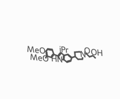 COc1ccc(-c2[nH]c3ccc(C4CCN(C(=O)CC(C)O)CC4)cc3c2C(C)C)cc1OC